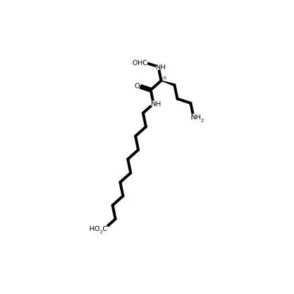 NCCC[C@H](NC=O)C(=O)NCCCCCCCCCCC(=O)O